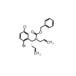 C=CC[C@H](c1cc(Cl)ccc1Br)N(CC=C)C(=O)OCc1ccccc1